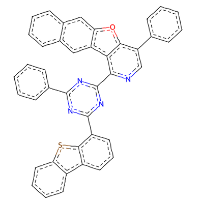 c1ccc(-c2nc(-c3cccc4c3sc3ccccc34)nc(-c3ncc(-c4ccccc4)c4oc5cc6ccccc6cc5c34)n2)cc1